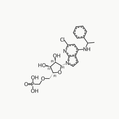 CC(Nc1cc(Cl)nc2c1ccn2[C@@H]1O[C@H](COCP(=O)(O)O)[C@@H](O)[C@H]1O)c1ccccc1